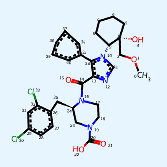 COC[C@]1(O)CCCC[C@H]1n1cnc(C(=O)N2CCN(C(=O)O)C[C@H]2Cc2ccc(Cl)cc2Cl)c1-c1ccccc1